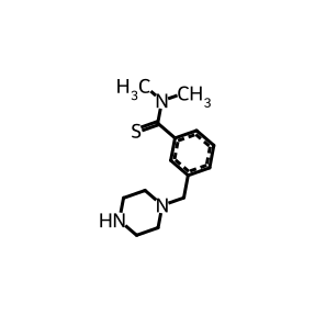 CN(C)C(=S)c1cccc(CN2CCNCC2)c1